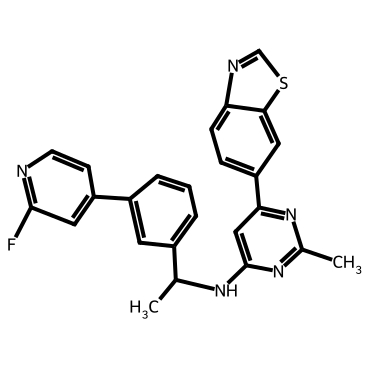 Cc1nc(NC(C)c2cccc(-c3ccnc(F)c3)c2)cc(-c2ccc3ncsc3c2)n1